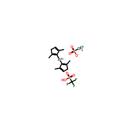 CC1=CCC(C)=[C]1[Zr+2][C]1=C(C)CC=C1C.O=S(=O)(O)C(F)(F)F.O=S(=O)([O-])C(F)(F)F.[Cl-]